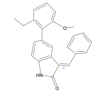 CCc1cccc(OC)c1-c1ccc2c(c1)/C(=C\c1ccccc1)C(=O)N2